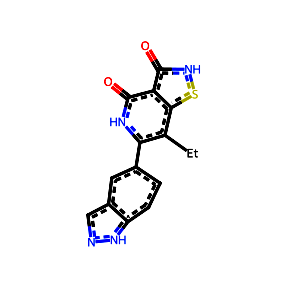 CCc1c(-c2ccc3[nH]ncc3c2)[nH]c(=O)c2c(=O)[nH]sc12